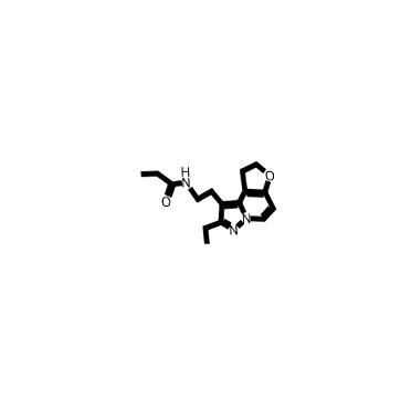 CCC(=O)NCCc1c(CC)nn2ccc3c(c12)CCO3